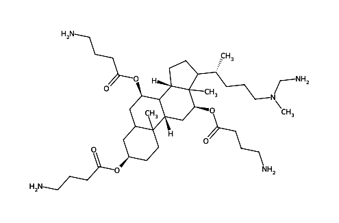 C[C@H](CCCN(C)CN)C1CC[C@H]2C3[C@H](OC(=O)CCCN)CC4C[C@H](OC(=O)CCCN)CCC4(C)[C@H]3C[C@H](OC(=O)CCCN)C12C